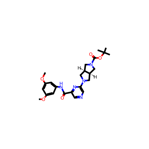 COc1cc(NC(=O)c2cncc(N3C[C@H]4CN(C(=O)OC(C)(C)C)C[C@H]4C3)n2)cc(OC)c1